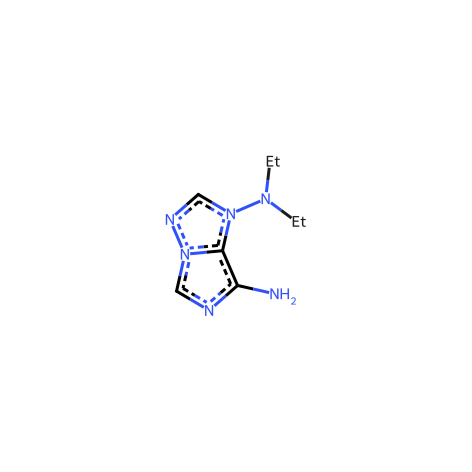 CCN(CC)n1cnn2cnc(N)c12